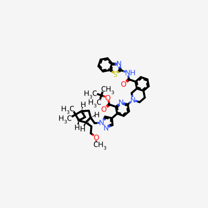 COCC[C@H]1[C@H](Cn2cc(-c3ccc(N4CCc5cccc(C(=O)Nc6nc7ccccc7s6)c5C4)nc3C(=O)OC(C)(C)C)cn2)C[C@H]2C[C@H]1C2(C)C